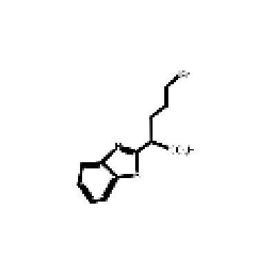 CC(C)CCCC(C(=O)O)c1nc2ccccc2s1